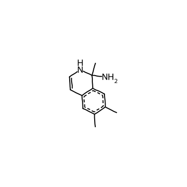 Cc1cc2c(cc1C)C(C)(N)NC=C2